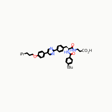 CC(C)CCCOc1ccc(-c2cnc(-c3ccc(C[C@H](NC(=O)c4ccc(C(C)(C)C)cc4)C(=O)NCCC(=O)O)cc3)nc2)cc1